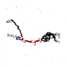 CCCCCCCC/C=C\CCCCCCCCOCC(CN1CCC(C(=O)OCC)CC1)OCCOC(=O)CCC(=O)O[C@H]1CC[C@@]2(C)C(=CC[C@H]3[C@H]4CC[C@H]([C@H](C)CCCC(C)C)[C@@]4(C)CC[C@@H]32)C1